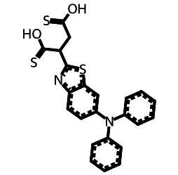 OC(=S)CC(C(O)=S)c1nc2ccc(N(c3ccccc3)c3ccccc3)cc2s1